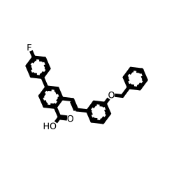 O=C(O)c1ccc(-c2ccc(F)cc2)cc1C=Cc1cccc(OCc2ccccc2)c1